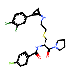 O=C(N[C@@H](CSCCNC1=C(c2ccc(Cl)c(Cl)c2)C1)C(=O)N1CCCC1)c1ccc(F)cc1